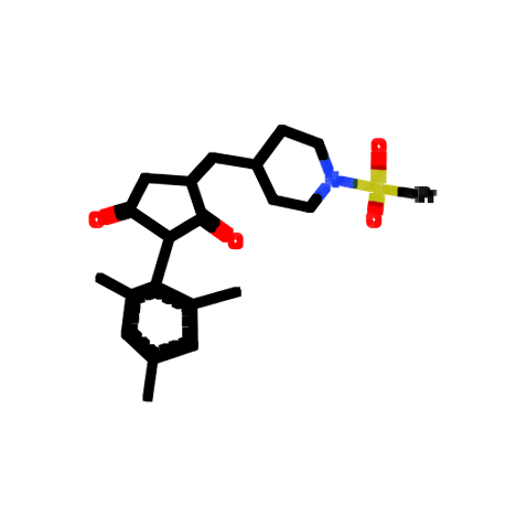 Cc1cc(C)c(C2C(=O)CC(CC3CCN(S(=O)(=O)C(C)C)CC3)C2=O)c(C)c1